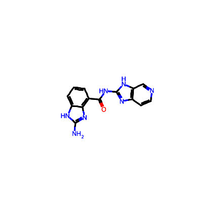 Nc1nc2c(C(=O)Nc3nc4ccncc4[nH]3)cccc2[nH]1